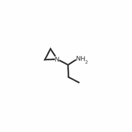 CCC(N)N1CC1